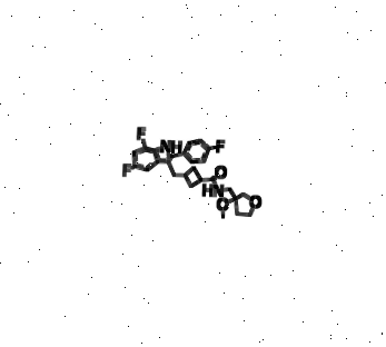 COC1(CNC(=O)C2CC(Cc3c(-c4ccc(F)cc4)[nH]c4c(F)cc(F)cc34)C2)CCOC1